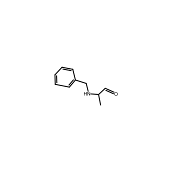 CC(C=O)NCc1ccccc1